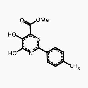 COC(=O)c1nc(-c2ccc(C)cc2)nc(O)c1O